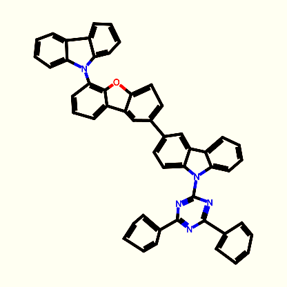 c1ccc(-c2nc(-c3ccccc3)nc(-n3c4ccccc4c4cc(-c5ccc6oc7c(-n8c9ccccc9c9ccccc98)cccc7c6c5)ccc43)n2)cc1